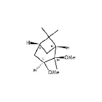 CO[C@H]1C[C@H]2C[C@H](C2(C)C)[C@@]1(C)OC